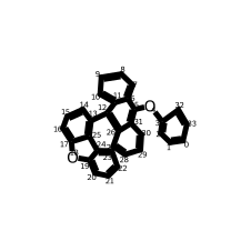 c1ccc(Oc2c3ccccc3c(-c3cccc4oc5ccccc5c34)c3ccccc23)cc1